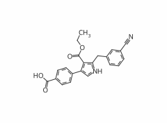 CCOC(=O)c1c(-c2ccc(C(=O)O)cc2)c[nH]c1Cc1cccc(C#N)c1